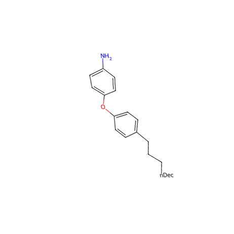 CCCCCCCCCCCCCc1ccc(Oc2ccc(N)cc2)cc1